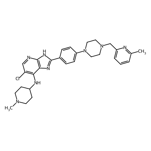 Cc1cccc(CN2CCN(c3ccc(-c4nc5c(NC6CCN(C)CC6)c(Cl)cnc5[nH]4)cc3)CC2)n1